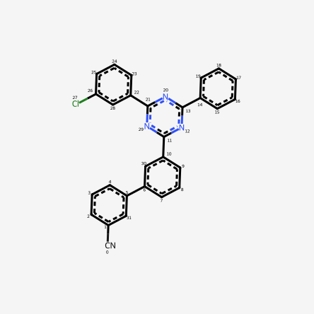 N#Cc1cccc(-c2cccc(-c3nc(-c4ccccc4)nc(-c4cccc(Cl)c4)n3)c2)c1